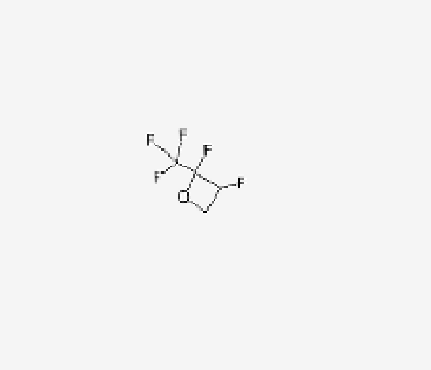 FC1COC1(F)C(F)(F)F